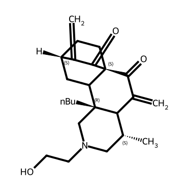 C=C1C(=O)[C@@]23CC[C@@H](CC2[C@@]2(CCCC)CN(CCO)C[C@@H](C)C12)C(=C)C3=O